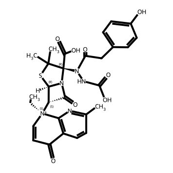 CC[N@@+]1([C@H]2C(=O)N3[C@@H]2SC(C)(C)[C@@]3(C(=O)O)N(NC(=O)O)C(=O)Cc2ccc(O)cc2)C=CC(=O)c2ccc(C)nc21